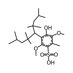 COc1c(C)c(S(=O)(=O)O)c(OC)c(C(C(C)(C)CC(C)C)C(C)(C)CC(C)C)c1O